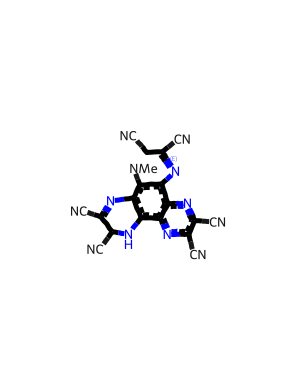 CNc1c2c(c3nc(C#N)c(C#N)nc3c1/N=C(/C#N)CC#N)NC(C#N)C(C#N)=N2